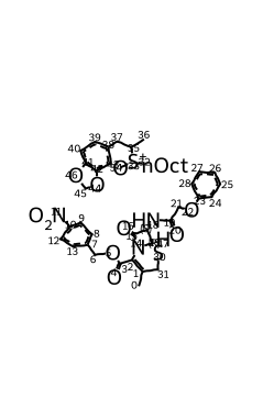 CC1=C(C(=O)OCc2ccc([N+](=O)[O-])cc2)N2C(=O)[C@H](NC(=O)COc3ccccc3)[C@H]2SC1.CCCCCCCC[S+]([O-])C(C)Cc1ccc2c(c1)OCO2